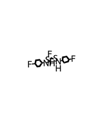 Fc1ccc(NSC(F)(F)SNc2ccc(F)cc2)cc1